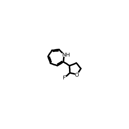 FC1OCCC1C1=CC=CC=CN1